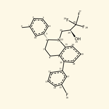 Cc1cccc([C@H]2CCc3c(-c4cccc(F)c4)cccc3N2C[C@H](O)C(F)(F)F)c1